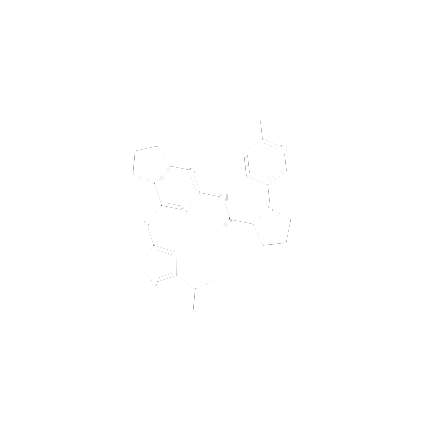 CC(C)c1cc(Nc2nc(NC(=O)C3CCCN3c3ccc(F)nc3)nc3c2CCC3)on1